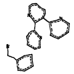 BrCc1ccccc1.c1ccc(-c2cccnc2-c2ccccn2)nc1